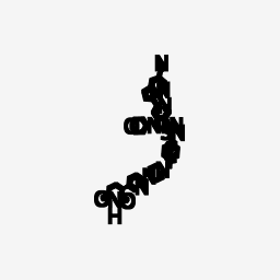 N#Cc1cnn2c(-c3cc(NC4CCOCC4)c(-c4nnc(C56CCC(CN7CCN(c8ccc([C@@H]9CCC(=O)NC9=O)cn8)CC7)(CC5)CC6)s4)cn3)ccc2c1